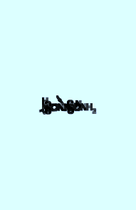 CC#CC1CN(S(=O)(=O)c2ccc(N)nc2)CCN1c1ccc(S(=O)(=O)NC(C)C)cc1